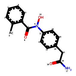 CC(=O)c1ccccc1C(=O)N(O)c1ccc(CC(N)=O)cc1